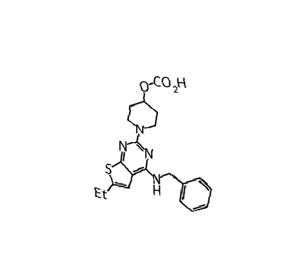 CCc1cc2c(NCc3ccccc3)nc(N3CCC(OC(=O)O)CC3)nc2s1